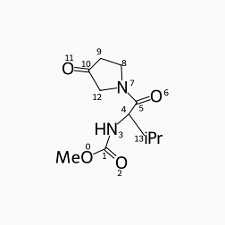 COC(=O)NC(C(=O)N1CCC(=O)C1)C(C)C